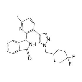 Cc1ccc(-c2cnn(CC3CCC(F)(F)CC3)c2)c(C2NC(=O)c3ccccc32)n1